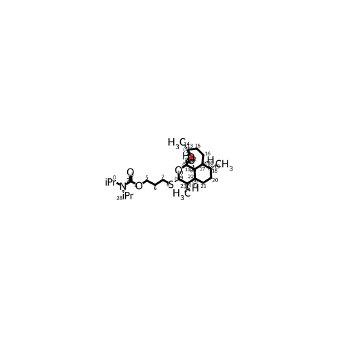 CC(C)N(C(=O)OCCCS[C@@H]1O[C@@H]2O[C@]3(C)CC[C@H]4[C@H](C)CC[C@@H]([C@H]1C)[C@@]24OO3)C(C)C